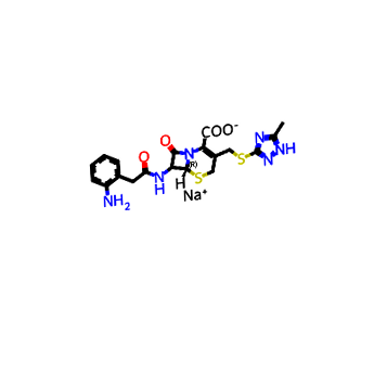 Cc1nc(SCC2=C(C(=O)[O-])N3C(=O)C(NC(=O)Cc4ccccc4N)[C@H]3SC2)n[nH]1.[Na+]